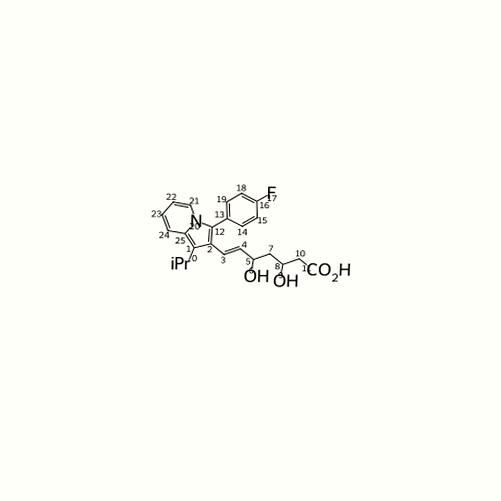 CC(C)c1c(C=CC(O)CC(O)CC(=O)O)c(-c2ccc(F)cc2)n2ccccc12